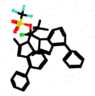 CC1=Cc2c(-c3ccccc3)cccc2[CH]1[Zr]([Cl])([O]S(=O)(=O)C(F)(F)F)([CH]1C(C)=Cc2c(-c3ccccc3)cccc21)[SiH](C)C